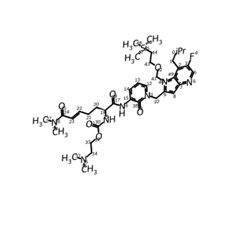 CC(C)Cc1c(F)cnc2cc(Cn3cccc(NC(=O)[C@H](CC/C=C/C(=O)N(C)C)NC(=O)OCCN(C)C)c3=O)n(COCC[Si](C)(C)C)c12